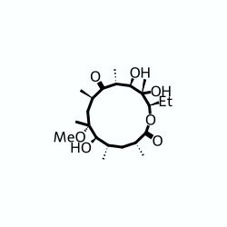 CC[C@H]1OC(=O)[C@H](C)C[C@H](C)[C@@H](O)[C@](C)(OC)C[C@@H](C)C(=O)[C@H](C)[C@@H](O)[C@]1(C)O